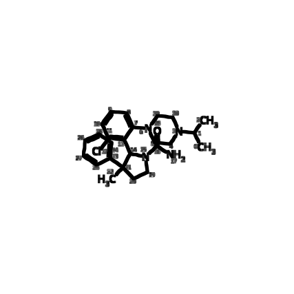 CC(C)N1CCN(c2cccc(Cl)c2C2N(C(N)=O)CCC2(C)c2ccccc2)CC1